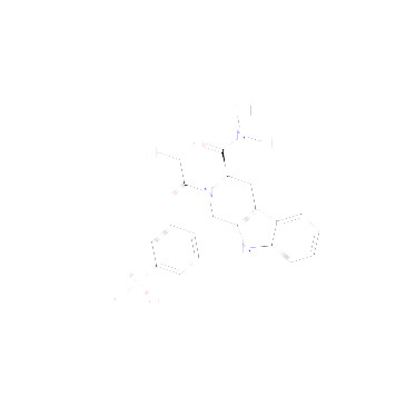 CN(C)C(=O)[C@H]1Cc2c([nH]c3ccccc23)[C@H](c2ccc(S(C)(=O)=O)cc2)N1C(=O)CCl